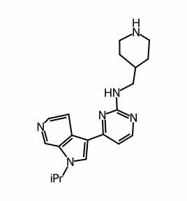 CC(C)n1cc(-c2ccnc(NCC3CCNCC3)n2)c2ccncc21